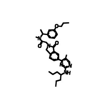 CCCOc1cccc(C(C)N(C)C(=O)CN2Cc3ccc(-c4nc(NC(CCC)CCC)ncc4C)cc3C2=O)c1